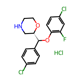 Cl.Fc1cc(Cl)ccc1OC(c1ccc(Cl)cc1)[C@@H]1CNCCO1